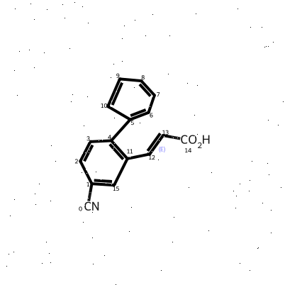 N#Cc1ccc(-c2ccccc2)c(/C=C/C(=O)O)c1